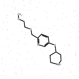 COCCOCc1ccc(OC2CCNCC2)cn1